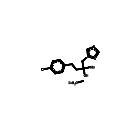 CC(C)(C)C(O)(CCc1ccc(Cl)cc1)Cn1cncn1.CCOC(C)=O